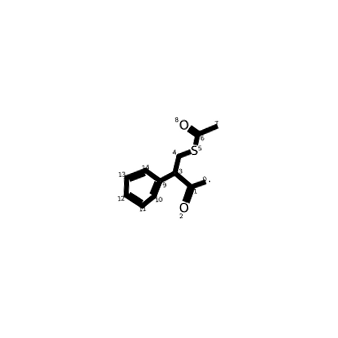 [CH2]C(=O)C(CSC(C)=O)c1ccccc1